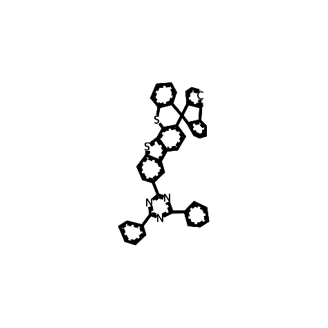 c1ccc(-c2nc(-c3ccccc3)nc(-c3ccc4sc5c6c(ccc5c4c3)C3(c4ccccc4S6)c4ccccc4-c4ccccc43)n2)cc1